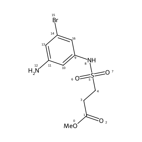 COC(=O)CCS(=O)(=O)Nc1cc(N)cc(Br)c1